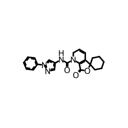 O=C1OC2(CCCCC2)C2=C1N(C(=O)Nc1cnn(-c3ccccc3)c1)CC=C2